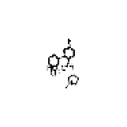 CN1CC[C@H](CN(C(=O)O)c2ccc(F)cc2-c2cccc(Cl)c2)C1